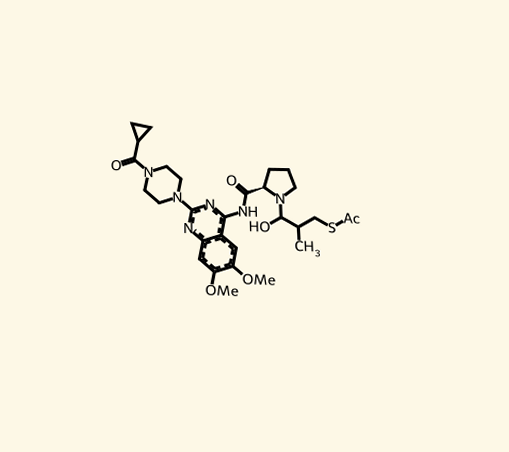 COc1cc2nc(N3CCN(C(=O)C4CC4)CC3)nc(NC(=O)[C@H]3CCCN3C(O)C(C)CSC(C)=O)c2cc1OC